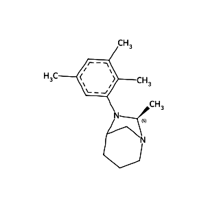 Cc1cc(C)c(C)c(N2C3CCCN(C3)[C@@H]2C)c1